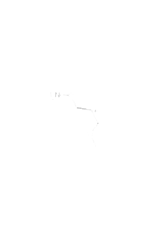 COC[C@@H](C)CON